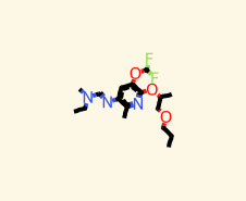 CCCOCC(C)Oc1nc(C)c(N=CN(C)CC)cc1OC(F)F